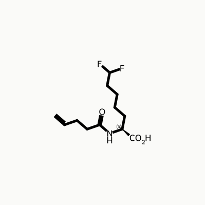 C=CCCC(=O)N[C@@H](CCCCC(F)F)C(=O)O